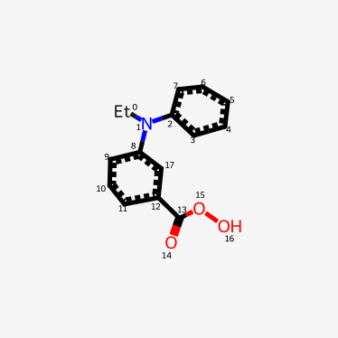 CCN(c1ccccc1)c1cccc(C(=O)OO)c1